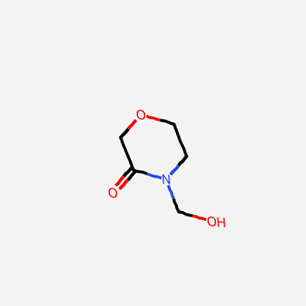 O=C1COCCN1CO